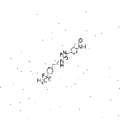 CC(F)(F)c1ccc(CCCNc2nnc(-c3ccc4c(c3)CC(=O)N4)s2)cc1